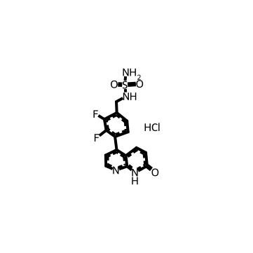 Cl.NS(=O)(=O)NCc1ccc(-c2ccnc3[nH]c(=O)ccc23)c(F)c1F